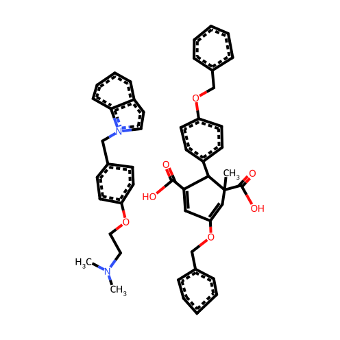 CC1(C(=O)O)C=C(OCc2ccccc2)C=C(C(=O)O)C1c1ccc(OCc2ccccc2)cc1.CN(C)CCOc1ccc(Cn2ccc3ccccc32)cc1